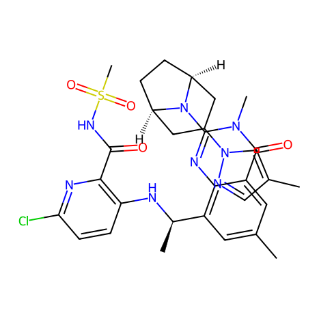 Cc1cc([C@@H](C)Nc2ccc(Cl)nc2C(=O)NS(C)(=O)=O)c2nc(N3[C@@H]4CC[C@H]3CC(n3cc(C)cn3)C4)n(C)c(=O)c2c1